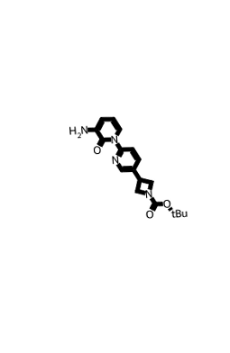 CC(C)(C)OC(=O)N1CC(c2ccc(-n3cccc(N)c3=O)nc2)C1